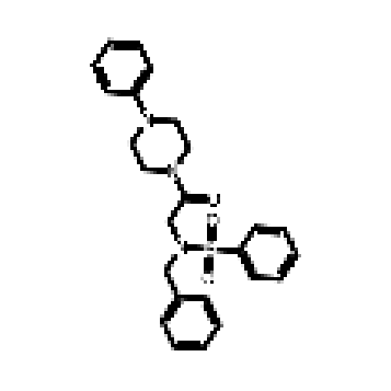 O=C(CN(Cc1ccccc1)S(=O)(=O)c1ccccc1)N1CCN(c2ccccc2)CC1